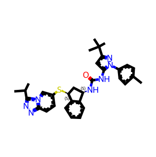 Cc1ccc(-n2nc(C(C)(C)C)cc2NC(=O)N[C@H]2C[C@H](Sc3ccc4nnc(C(C)C)n4c3)c3ccccc32)cc1